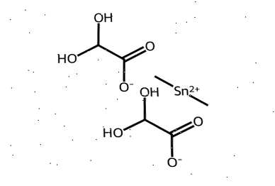 O=C([O-])C(O)O.O=C([O-])C(O)O.[CH3][Sn+2][CH3]